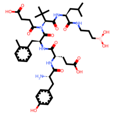 Cc1ccccc1C[C@H](NC(=O)[C@H](CCC(=O)O)NC(=O)[C@@H](N)Cc1ccc(O)cc1)C(=O)N(C(=O)CCC(=O)O)[C@H](C(=O)N[C@@H](CC(C)C)C(=O)NCCCB(O)O)C(C)(C)C